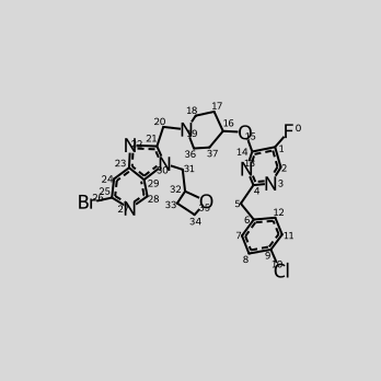 Fc1cnc(Cc2ccc(Cl)cc2)nc1OC1CCN(Cc2nc3cc(Br)ncc3n2CC2CCO2)CC1